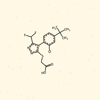 CC(C)(C)c1ccc(-n2c(SCC(=O)O)nnc2C(F)F)c(Cl)c1